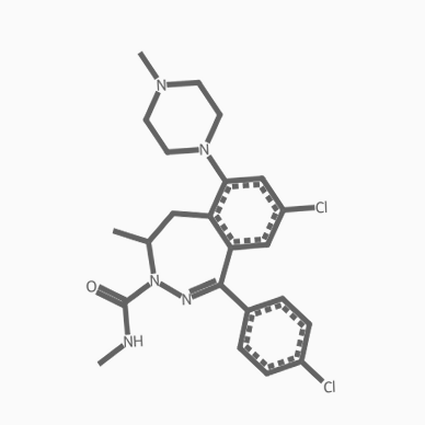 CNC(=O)N1N=C(c2ccc(Cl)cc2)c2cc(Cl)cc(N3CCN(C)CC3)c2CC1C